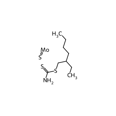 CCCCC(CC)CSC(N)=S.[S]=[Mo]